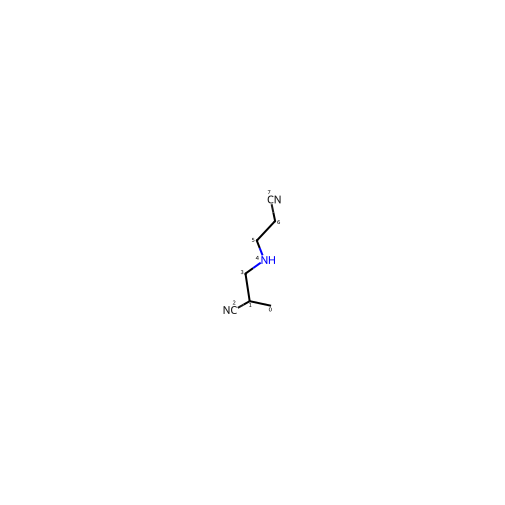 CC(C#N)CNCCC#N